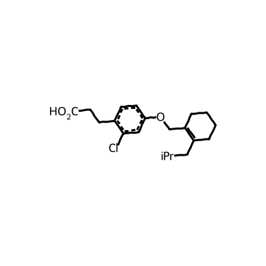 CC(C)CC1=C(COc2ccc(CCC(=O)O)c(Cl)c2)CCCC1